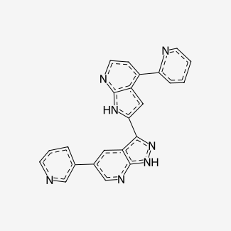 c1ccc(-c2ccnc3[nH]c(-c4n[nH]c5ncc(-c6cccnc6)cc45)cc23)nc1